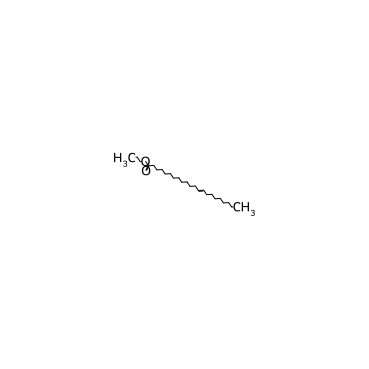 CCCCCCCCC=CCCCCCCCCCCCC(=O)OCCC